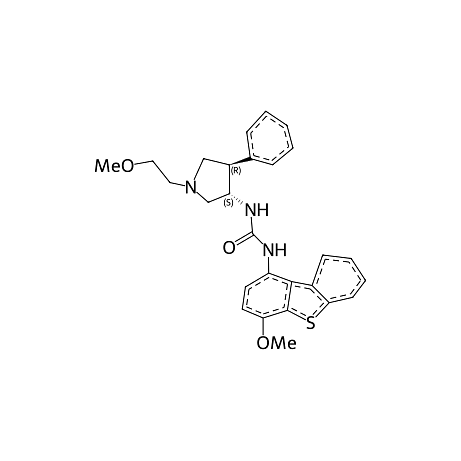 COCCN1C[C@@H](NC(=O)Nc2ccc(OC)c3sc4ccccc4c23)[C@H](c2ccccc2)C1